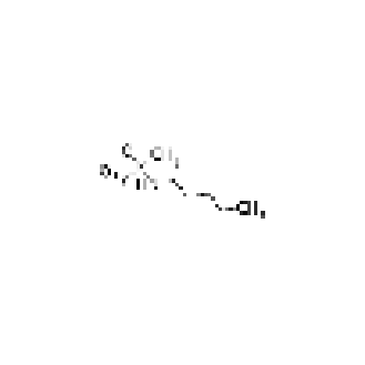 CCCCCNC(C)(O)[C]=O